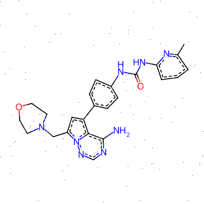 Cc1cccc(NC(=O)Nc2ccc(-c3cc(CN4CCOCC4)n4ncnc(N)c34)cc2)n1